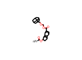 CCCC(=O)OC1CC2CC1C1C3CC(CC3C(=O)OCOCC34CC5CC(CC(C5)C3)C4)C21